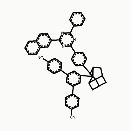 N#Cc1ccc(-c2cc(-c3ccc(C#N)cc3)cc(C3(c4ccc(-c5nc(-c6ccccc6)nc(-c6ccc7ccccc7c6)n5)cc4)C4CC5CC6CC3C56C4)c2)cc1